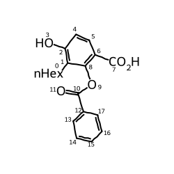 CCCCCCc1c(O)ccc(C(=O)O)c1OC(=O)c1ccccc1